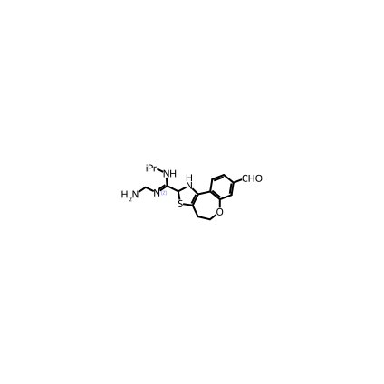 CC(C)N/C(=N\CN)C1NC2=C(CCOc3cc(C=O)ccc32)S1